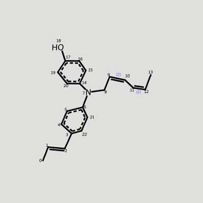 CC=Cc1ccc(N(C/C=C\C=C/C)c2ccc(O)cc2)cc1